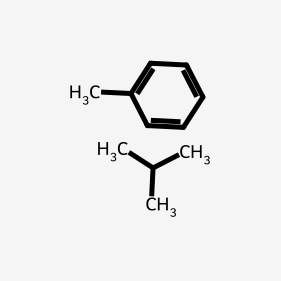 CC(C)C.Cc1ccccc1